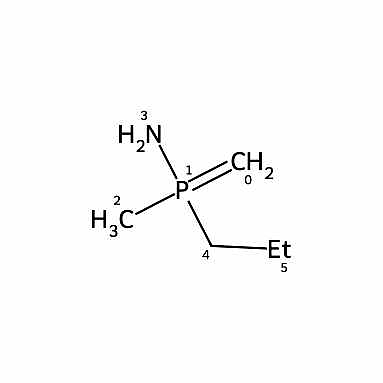 C=P(C)(N)CCC